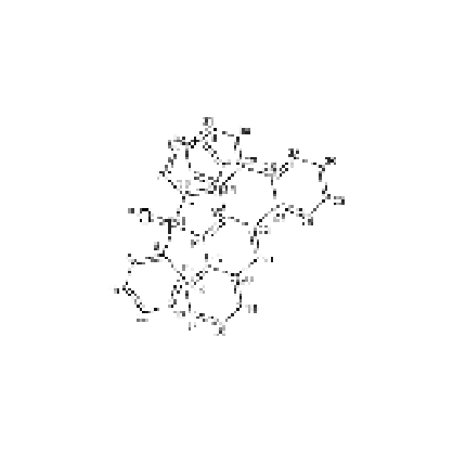 O=P(c1ccccc1)(c1ccccc1)c1c2ccccc2cc2c3ccccc3c3ccccc3c12